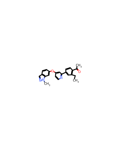 CCc1cc(-c2cc(Oc3ccc4cnn(C)c4c3)ccn2)ccc1C(C)=O